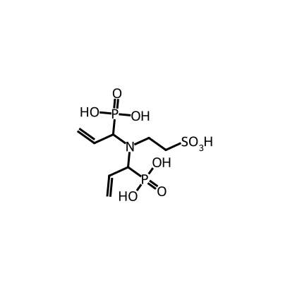 C=CC(N(CCS(=O)(=O)O)C(C=C)P(=O)(O)O)P(=O)(O)O